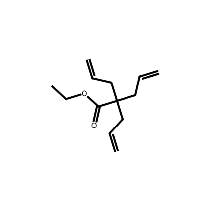 C=CCC(CC=C)(CC=C)C(=O)OCC